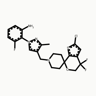 Cc1nn(-c2c(N)cccc2F)cc1CN1CCC2(CC1)OCC(F)(F)c1cc(Cl)sc12